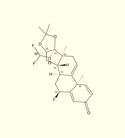 CC1(C)O[C@@H]2C[C@H]3[C@@H]4C[C@H](F)C5=CC(=O)C=C[C@]5(C)C4=CC[C@]3(C)[C@]2(C(=O)C(F)F)O1